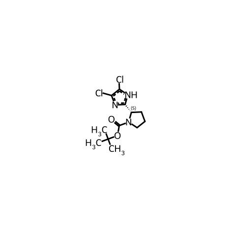 CC(C)(C)OC(=O)N1CCC[C@H]1c1nc(Cl)c(Cl)[nH]1